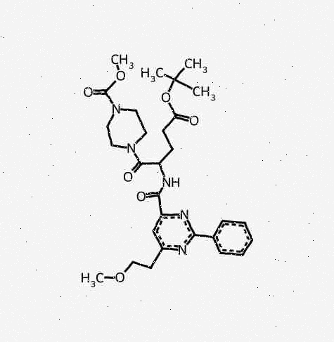 COCCc1cc(C(=O)NC(CCC(=O)OC(C)(C)C)C(=O)N2CCN(C(=O)OC)CC2)nc(-c2ccccc2)n1